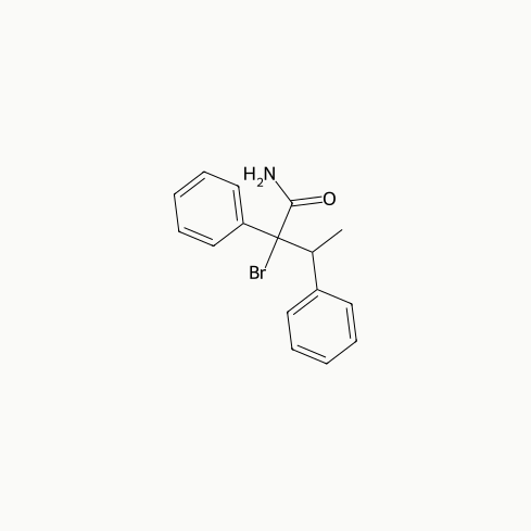 CC(c1ccccc1)C(Br)(C(N)=O)c1ccccc1